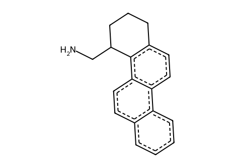 NCC1CCCc2ccc3c(ccc4ccccc43)c21